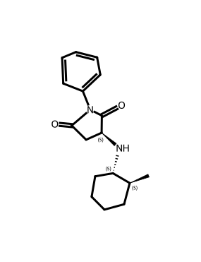 C[C@H]1CCCC[C@@H]1N[C@H]1CC(=O)N(c2ccccc2)C1=O